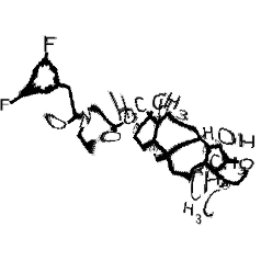 C[C@@H]1CCOC2C1[C@@]1(C)CCC34C[C@@]35CC[C@H](OC3CN(C(=O)Cc6cc(F)cc(F)c6)CCO3)C(C)(C)[C@@H]5CC[C@H]4[C@]1(C)[C@H]2O